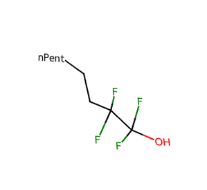 CCCCCCCC(F)(F)C(O)(F)F